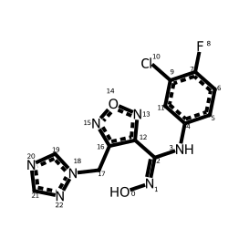 O/N=C(/Nc1ccc(F)c(Cl)c1)c1nonc1Cn1cncn1